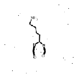 NCCCCC(N=C=O)N=C=O